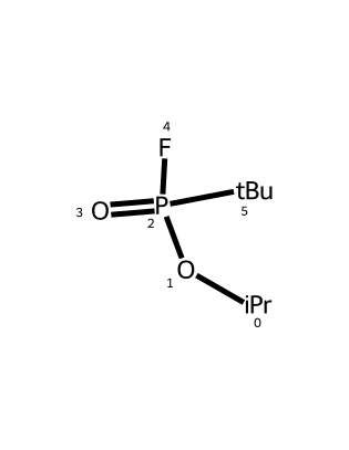 CC(C)OP(=O)(F)C(C)(C)C